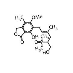 COc1c(C)c2c(c(O)c1C/C=C(\C)CC(CO)P(C)(C)=O)C(=O)OC2